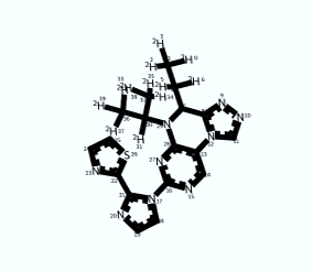 [2H]C([2H])([2H])C([2H])([2H])C1c2nncn2-c2cnc(-n3ccnc3-c3nccs3)nc2N1C([2H])(C([2H])([2H])[2H])C([2H])([2H])[2H]